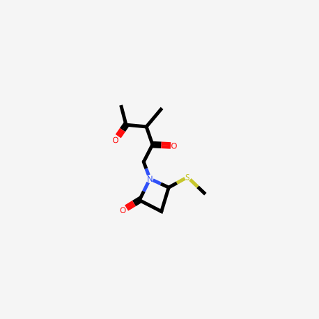 CSC1CC(=O)N1CC(=O)C(C)C(C)=O